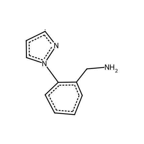 NCc1ccccc1-n1cc[c]n1